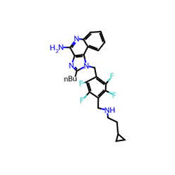 CCCCc1nc2c(N)nc3ccccc3c2n1Cc1c(F)c(F)c(CNCCC2CC2)c(F)c1F